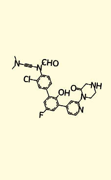 CN(C)C#CN(C=O)c1ccc(-c2cc(F)cc(-c3ccnc(N4CCNCC4=O)c3)c2O)cc1Cl